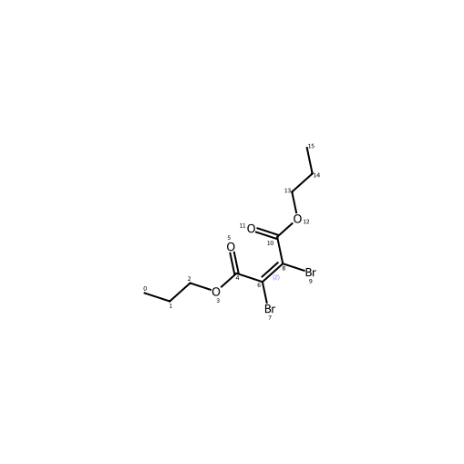 CCCOC(=O)/C(Br)=C(/Br)C(=O)OCCC